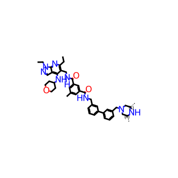 CCc1nc2c(cnn2CC)c(NC2CCOCC2)c1CNC(=O)c1cc(C)cc(C(=O)NCc2cccc(-c3cccc(CN4C[C@@H](C)N[C@@H](C)C4)c3)c2)c1